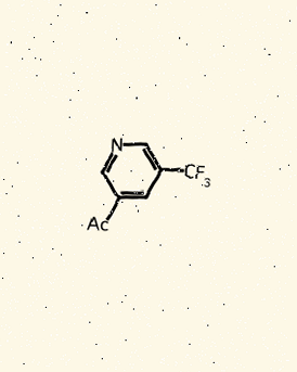 CC(=O)c1cncc(C(F)(F)F)c1